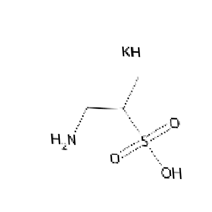 CC(CN)S(=O)(=O)O.[KH]